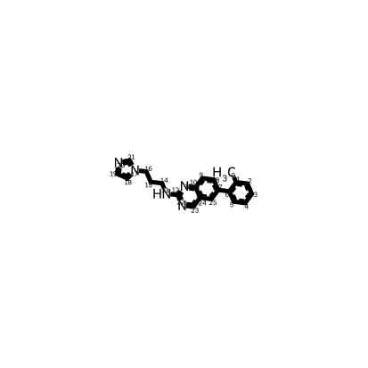 Cc1ccccc1-c1ccc2nc(NCCCn3ccnc3)ncc2c1